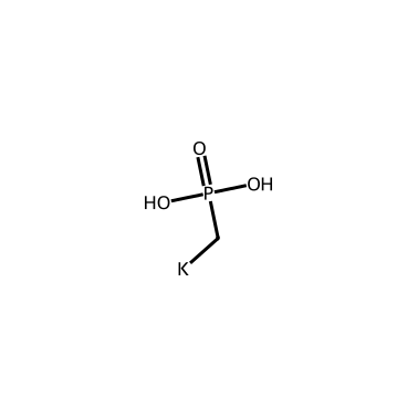 O=P(O)(O)[CH2][K]